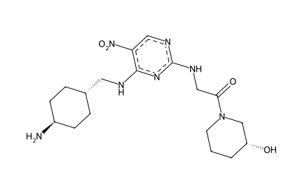 N[C@H]1CC[C@H](CNc2nc(NCC(=O)N3CCC[C@@H](O)C3)ncc2[N+](=O)[O-])CC1